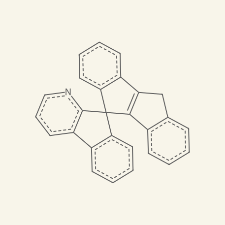 c1ccc2c(c1)CC1=C2C2(c3ccccc31)c1ccccc1-c1cccnc12